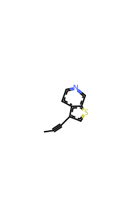 CC#Cc1csc2cnccc12